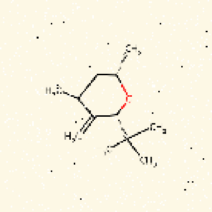 C=C1C(C)C[C@H](C)O[C@@H]1C(C)(C)C